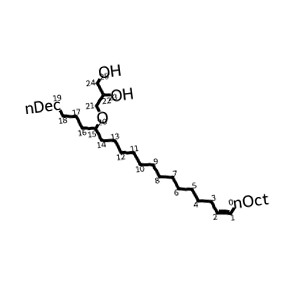 CCCCCCCC/C=C\CCCCCCCCCCCCC(CCCCCCCCCCCCC)OCC(O)CO